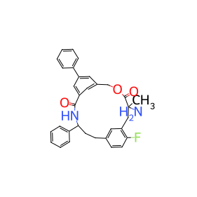 CC1(N)Cc2cc(ccc2F)CCC(c2ccccc2)NC(=O)c2cc(cc(-c3ccccc3)c2)COC1=O